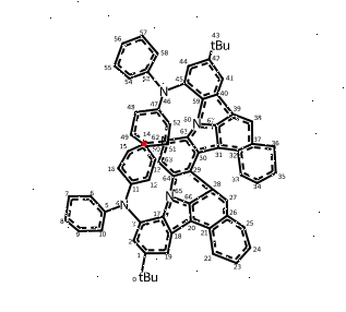 CC(C)(C)c1cc(N(c2ccccc2)c2ccccc2)c2c(c1)c1c3ccccc3cc3c4c5c6c7ccccc7cc7c8cc(C(C)(C)C)cc(N(c9ccccc9)c9ccccc9)c8n(c5ncc4n2c31)c76